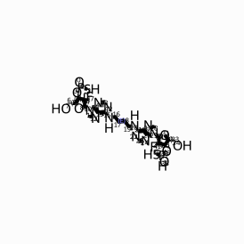 O=[PH](S)O[C@@H]1[C@@H](CO)OC(n2cnc3c(NC/C=C/CNc4ncnc5c4ncn5[C@@H]4O[C@H](CO)[C@@H](O[PH](=O)S)[C@H]4F)ncnc32)[C@@H]1F